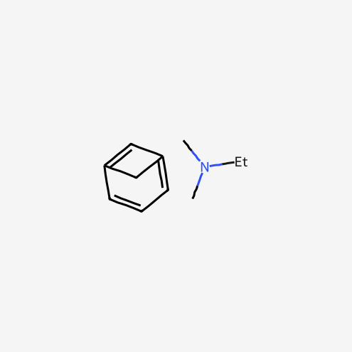 CCN(C)C.c1cc2cc(c1)C2